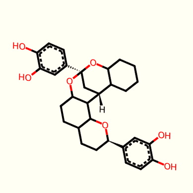 Oc1ccc([C@H]2CCC3CCC4O[C@]5(c6ccc(O)c(O)c6)C[C@H](C6CCCCC6O5)C4C3O2)cc1O